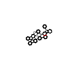 c1ccc2c(c#1)C1(c3ccccc3-2)c2ccccc2C2C=C3Oc4cccc(N(c5ccccc5-c5ccccc5)C5C=c6c(c7c(n6-c6ccccc6)C=CCC7)=CC5)c4OC3=CC21